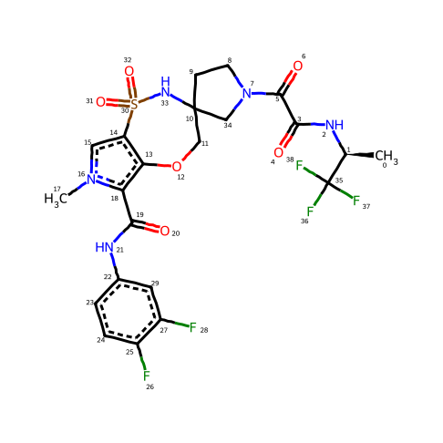 C[C@H](NC(=O)C(=O)N1CCC2(COc3c(cn(C)c3C(=O)Nc3ccc(F)c(F)c3)S(=O)(=O)N2)C1)C(F)(F)F